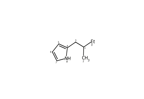 CCC(C)Cc1ccc[nH]1